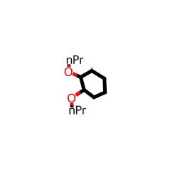 CCCOC1[CH]CCCC1OCCC